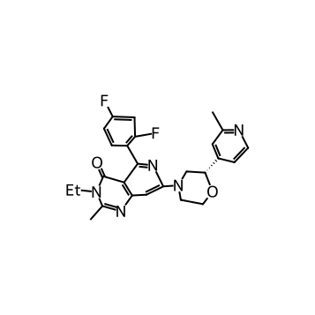 CCn1c(C)nc2cc(N3CCO[C@@H](c4ccnc(C)c4)C3)nc(-c3ccc(F)cc3F)c2c1=O